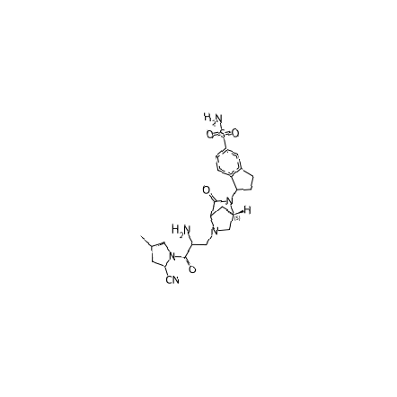 CC1CC(C#N)N(C(=O)C(N)CN2C[C@@H]3CC2C(=O)N3C2CCc3cc(S(N)(=O)=O)ccc32)C1